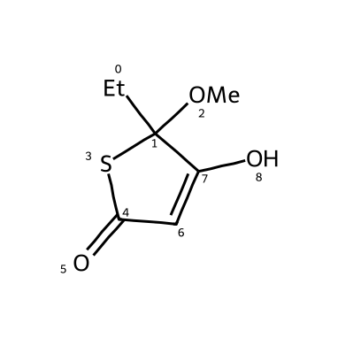 CCC1(OC)SC(=O)C=C1O